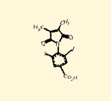 CC1=C(C)C(=O)N(c2c(I)cc(C(=O)O)cc2I)C1=O